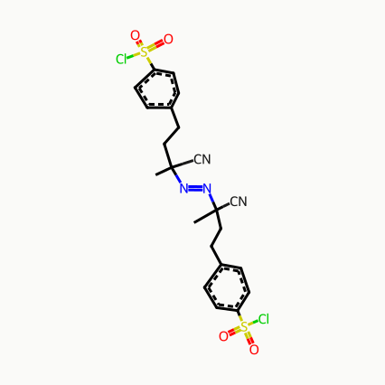 CC(C#N)(CCc1ccc(S(=O)(=O)Cl)cc1)/N=N/C(C)(C#N)CCc1ccc(S(=O)(=O)Cl)cc1